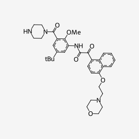 COc1c(NC(=O)C(=O)c2ccc(OCCN3CCOCC3)c3ccccc23)cc(C(C)(C)C)cc1C(=O)N1CCNCC1